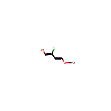 CC(=O)OC=CC(Cl)=CO